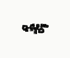 CSc1ccccc1C(=O)Nc1nc(-c2ccccn2)cs1